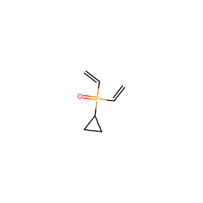 C=CP(=O)(C=C)C1CC1